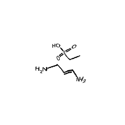 CCS(=O)(=O)O.NC=CCN